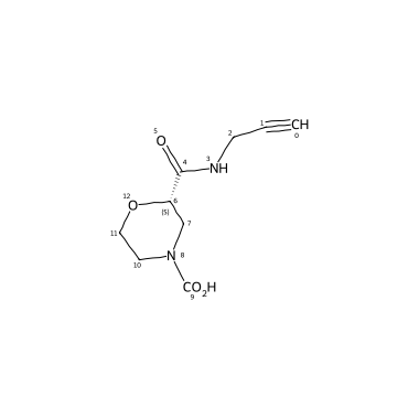 C#CCNC(=O)[C@@H]1CN(C(=O)O)CCO1